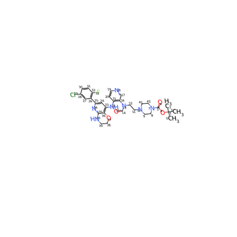 CC(C)(C)OC(=O)N1CCN(CCN(C=O)c2cnccc2Nc2cc(-c3cc(Cl)ccc3F)nc3c2OCCN3)CC1